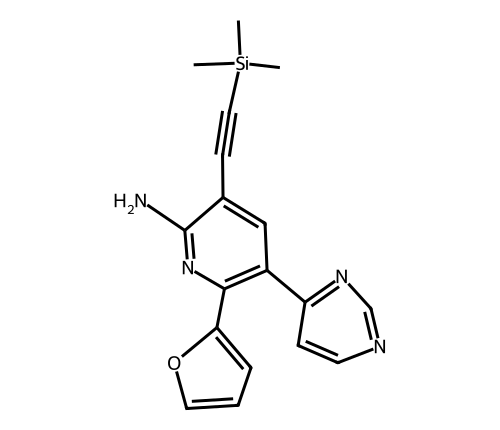 C[Si](C)(C)C#Cc1cc(-c2ccncn2)c(-c2ccco2)nc1N